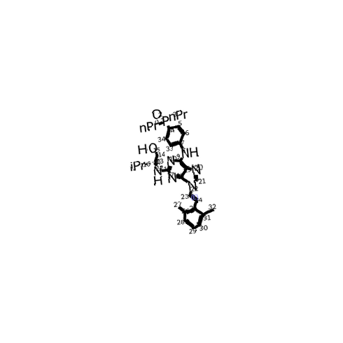 CCCP(=O)(CCC)c1ccc(Nc2nc(N[C@@H](CO)C(C)C)nc3c2ncn3/C=C/c2c(C)cccc2C)cc1